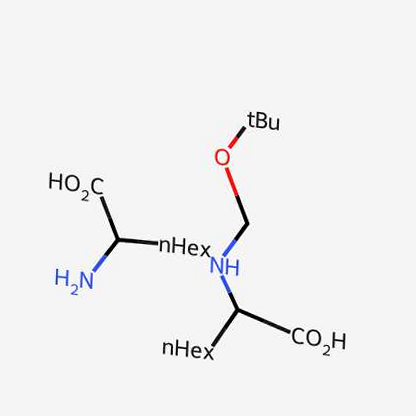 CCCCCCC(N)C(=O)O.CCCCCCC(NCOC(C)(C)C)C(=O)O